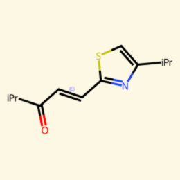 CC(C)C(=O)/C=C/c1nc(C(C)C)cs1